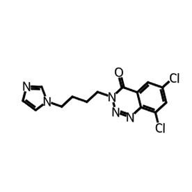 O=c1c2cc(Cl)cc(Cl)c2nnn1CCCCn1ccnc1